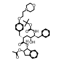 CC(=O)O[C@@H]1Cc2ccccc2[C@@H]1NC(=O)[C@H](Cc1ccc(OCCN2CCOCC2)cc1)C[C@H](O)[C@H](Cc1ccccc1)NC(=O)OC(C)(C)C